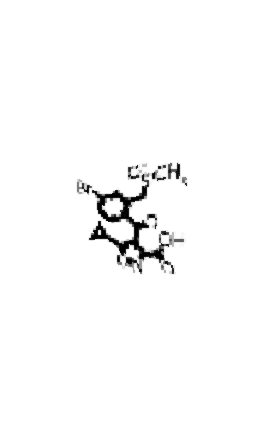 C[S+]([O-])Cc1cc(Br)ccc1C(=O)c1c(C(=O)O)noc1C1CC1